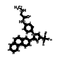 CNCC(=O)Nc1ccc(-n2cc(C(F)(F)F)nc2-c2ccc3c(ccc4ccccc43)c2)cc1